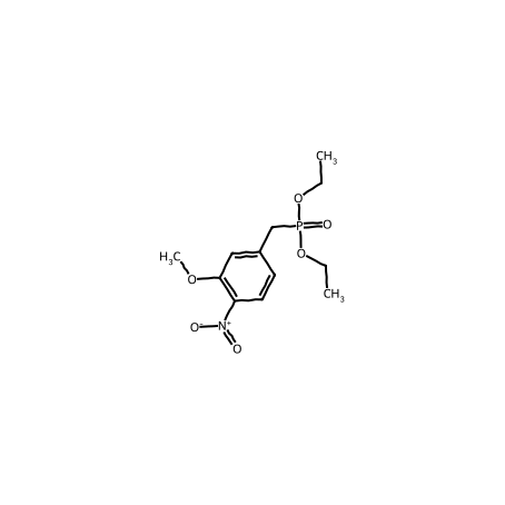 CCOP(=O)(Cc1ccc([N+](=O)[O-])c(OC)c1)OCC